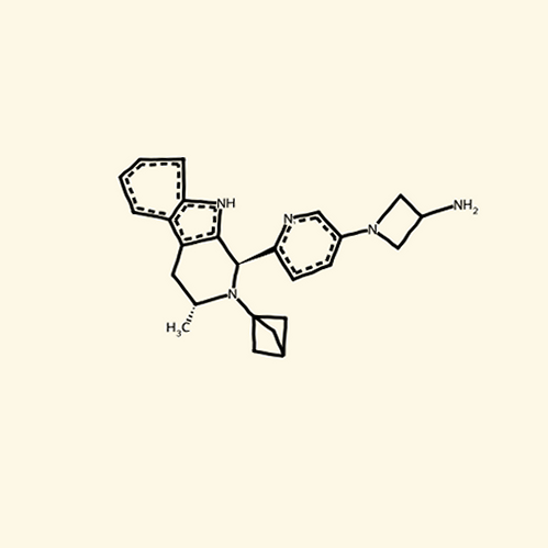 C[C@@H]1Cc2c([nH]c3ccccc23)[C@@H](c2ccc(N3CC(N)C3)cn2)N1C12CC(C1)C2